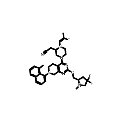 CC(F)=CN1CCN(c2nc(OCC3CC(F)(F)CN3C)nc3c2CCN(c2cccc4cccc(C)c24)C3)CC1CC#N